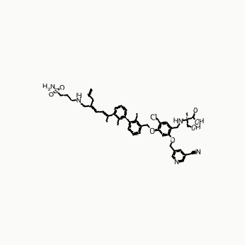 C=CC/C(=C\C=C(/C)c1cccc(-c2cccc(COc3cc(OCc4cncc(C#N)c4)c(CN[C@@](C)(CO)C(=O)O)cc3Cl)c2C)c1C)CNCCCS(N)(=O)=O